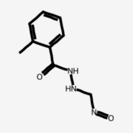 Cc1ccccc1C(=O)NNCN=O